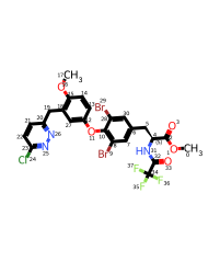 COC(=O)[C@H](Cc1cc(Br)c(Oc2ccc(OC)c(Cc3ccc(Cl)nn3)c2)c(Br)c1)NC(=O)C(F)(F)F